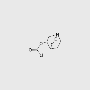 O=C(Cl)OC1CN2CCC1CC2